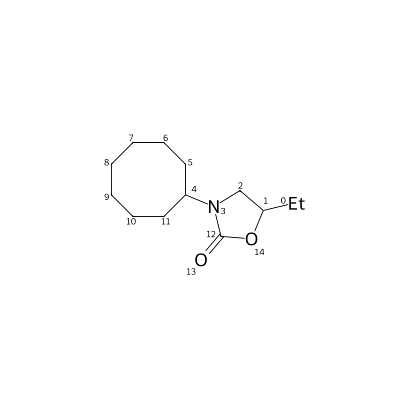 CCC1CN(C2CCCCCCC2)C(=O)O1